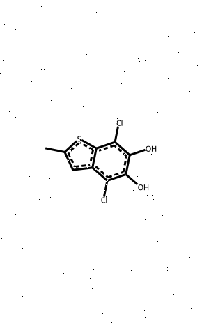 Cc1cc2c(Cl)c(O)c(O)c(Cl)c2s1